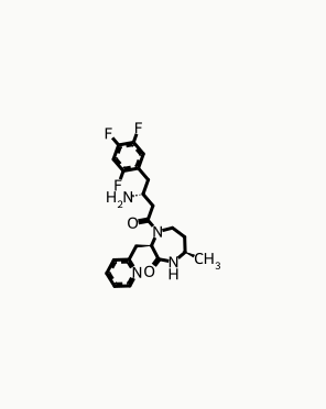 C[C@@H]1CCN(C(=O)C[C@H](N)Cc2cc(F)c(F)cc2F)[C@H](Cc2ccccn2)C(=O)N1